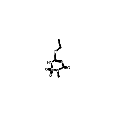 CCOC1=NC(=O)N(C)S(=O)(=O)N1